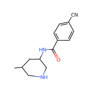 CC1[CH]C(NC(=O)c2ccc(C#N)cc2)CNC1